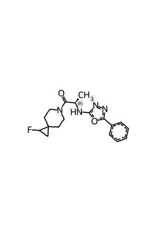 C[C@@H](Nc1nnc(-c2ccccc2)o1)C(=O)N1CCC2(CC1)CC2F